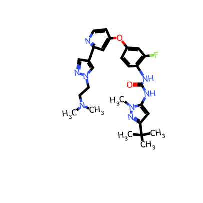 CN(C)CCn1cc(-c2cc(Oc3ccc(NC(=O)Nc4cc(C(C)(C)C)nn4C)c(F)c3)ccn2)cn1